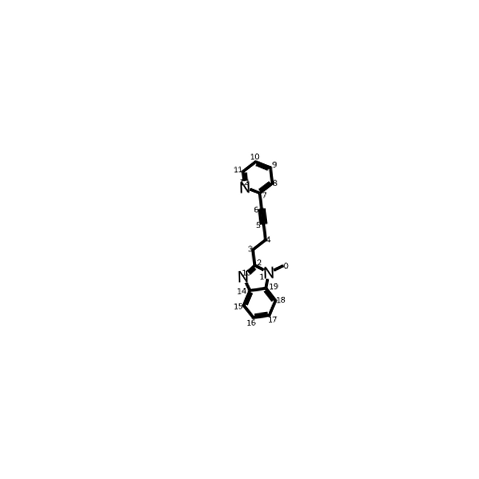 Cn1c(CCC#Cc2ccccn2)nc2ccccc21